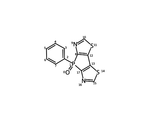 O=P1(c2ccccc2)c2ncsc2-c2scnc21